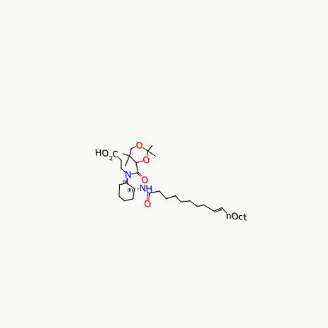 CCCCCCCCC=CCCCCCCCC(=O)N[C@@H]1CCCC[C@H]1N(CCC(=O)O)C(=O)C1OC(C)(C)OCC1(C)C